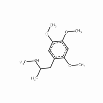 CNC(C)Cc1cc(OC)c(OC)cc1OC